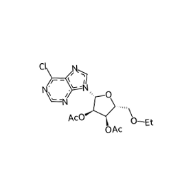 CCOC[C@H]1O[C@@H](n2cnc3c(Cl)ncnc32)[C@H](OC(C)=O)[C@@H]1OC(C)=O